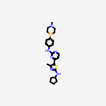 Cc1nc(NC2CCCC2)sc1-c1ccnc(Nc2ccc(P3CCN(C)CC3)cc2)n1